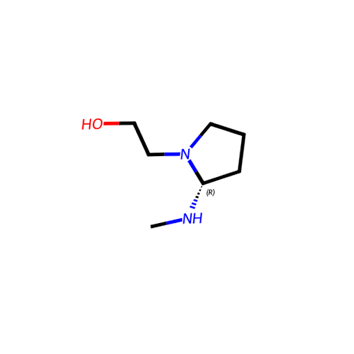 CN[C@H]1CCCN1CCO